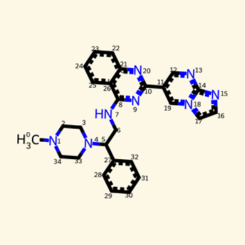 CN1CCN(C(CNc2nc(-c3cnc4nccn4c3)nc3ccccc23)c2ccccc2)CC1